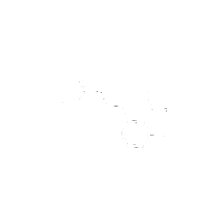 C=C(OCC)c1c(Cl)ccnc1CCNC(=O)OC(C)(C)C